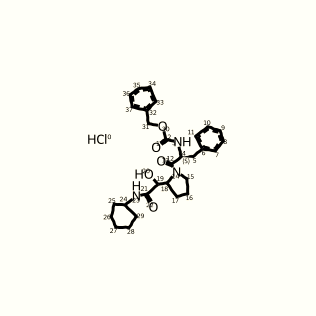 Cl.O=C(N[C@@H](Cc1ccccc1)C(=O)N1CCCC1C(O)C(=O)NC1CCCCC1)OCc1ccccc1